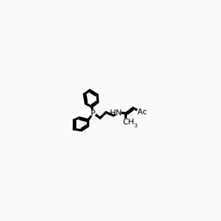 CC(=O)/C=C(\C)NCCCP(c1ccccc1)c1ccccc1